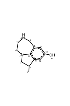 CC1CN2CCNCc3cc(O)cc1c32